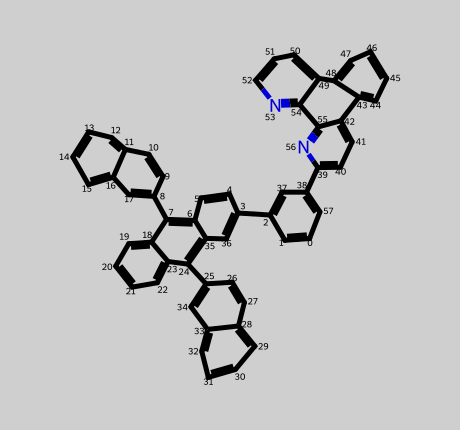 c1cc(-c2ccc3c(-c4ccc5ccccc5c4)c4ccccc4c(-c4ccc5ccccc5c4)c3c2)cc(-c2ccc3c4ccccc4c4cccnc4c3n2)c1